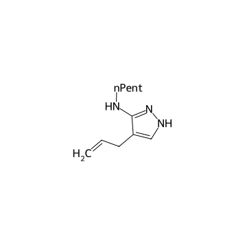 C=CCc1c[nH]nc1NCCCCC